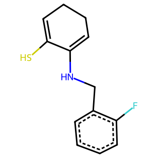 Fc1ccccc1CNC1=CCCC=C1S